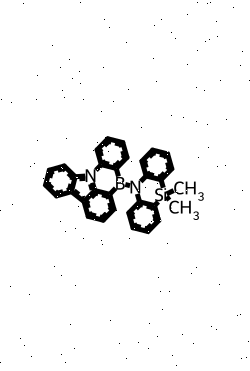 C[Si]1(C)c2ccccc2N(B2c3ccccc3-n3c4ccccc4c4cccc2c43)c2ccccc21